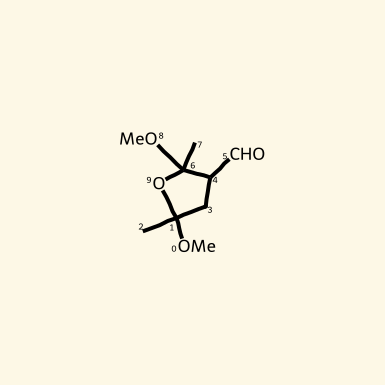 COC1(C)CC(C=O)C(C)(OC)O1